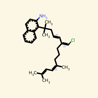 CC(C)=C/C=C(/C)CCCC(=C/Cl)/C=C/CC(C)(C)c1c(N)ccc2ccccc12